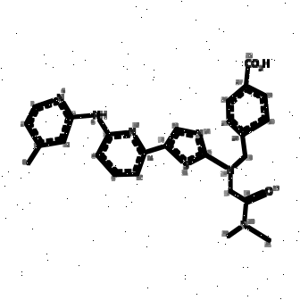 Cc1ccnc(Nc2cccc(-c3cnc(N(CC(=O)N(C)C)Cc4ccc(C(=O)O)cc4)s3)n2)c1